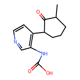 CC1CCCC(c2ccncc2NC(=O)O)C1=O